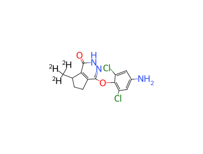 [2H]C([2H])([2H])C1CCc2c(Oc3c(Cl)cc(N)cc3Cl)n[nH]c(=O)c21